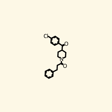 O=C(c1ccc(Cl)cc1)C1CCN(C(=O)CCc2ccccc2)CC1